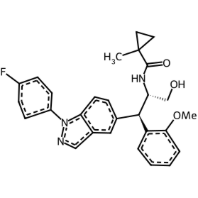 COc1ccccc1[C@@H](c1ccc2c(cnn2-c2ccc(F)cc2)c1)[C@@H](CO)NC(=O)C1(C)CC1